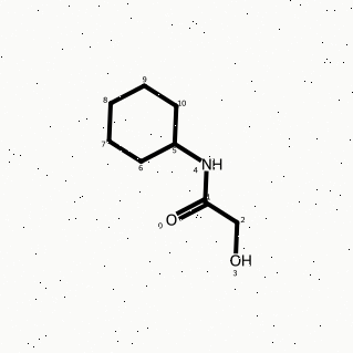 O=C(CO)NC1CCCCC1